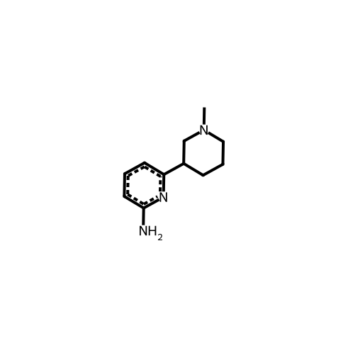 CN1CCCC(c2cccc(N)n2)C1